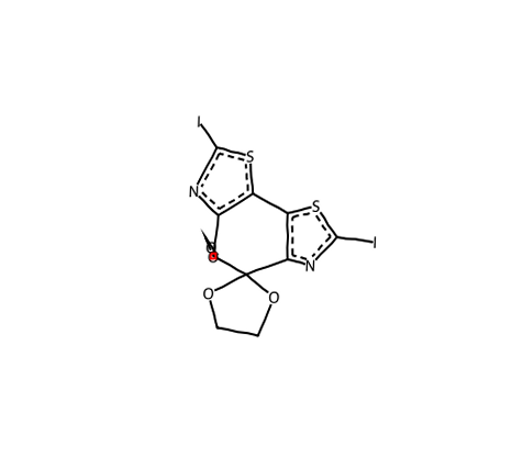 Ic1nc2c(s1)-c1sc(I)nc1C1(OCCO1)C21OCCO1